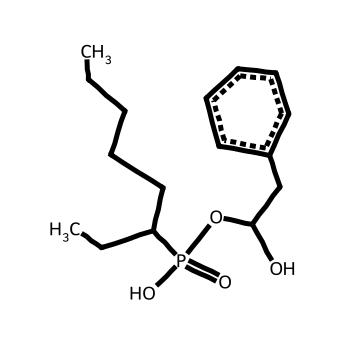 CCCCCC(CC)P(=O)(O)OC(O)Cc1ccccc1